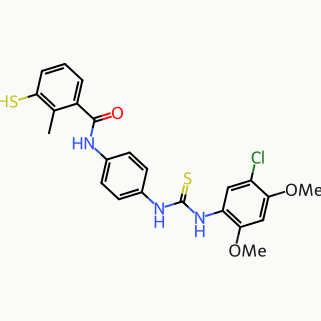 COc1cc(OC)c(NC(=S)Nc2ccc(NC(=O)c3cccc(S)c3C)cc2)cc1Cl